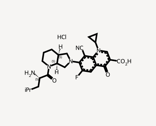 CC(C)C[C@H](N)C(=O)N1CCC[C@H]2CN(c3c(F)cc4c(=O)c(C(=O)O)cn(C5CC5)c4c3C#N)C[C@H]21.Cl